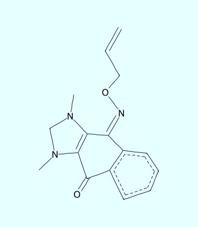 C=CCO/N=C1\C2=C(C(=O)c3ccccc31)N(C)CN2C